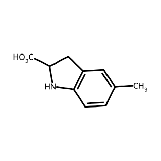 Cc1ccc2c(c1)CC(C(=O)O)N2